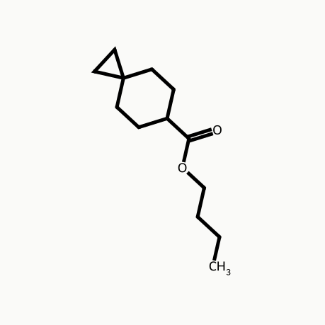 CCCCOC(=O)C1CCC2(CC1)CC2